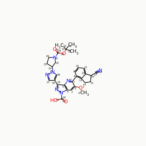 COc1cc2c(nc1-c1cccc3c1CCC3C#N)c(-c1cnn(C3CCN(C(=O)OC(C)(C)C)C3)c1)nn2C(=O)O